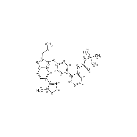 CCCc1nc2ccc(C3=NCCN3C)cc2n1Cc1ccc(-c2ccccc2OC(=O)OC(C)(C)C)cc1